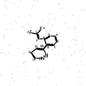 FC(F)=Cc1ccccc1-c1cccnn1